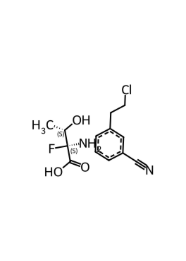 C[C@H](O)[C@](N)(F)C(=O)O.N#Cc1cccc(CCCl)c1